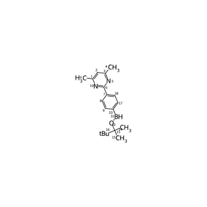 Cc1cc(C)nc(-c2ccc(BOC(C)(C)C(C)(C)C)cc2)n1